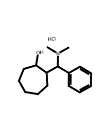 CN(C)C(c1ccccc1)C1CCCCCC1O.Cl